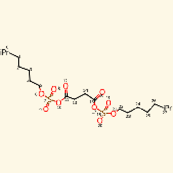 CC(C)CCCCCOS(=O)(=O)OC(=O)CCC(=O)OS(=O)(=O)OCCCCCC(C)C